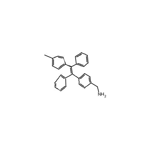 Cc1ccc(/C(=C(\c2ccccc2)c2ccc(CN)cc2)c2ccccc2)cc1